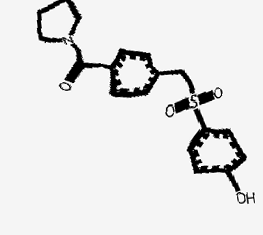 O=C(c1ccc(CS(=O)(=O)c2ccc(O)cc2)cc1)N1CCCC1